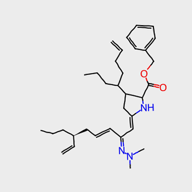 C=CCCC(CCC)C1C\C(=C/C(/C=C/C[C@@H](C=C)CCC)=N\N(C)C)NC1C(=O)OCc1ccccc1